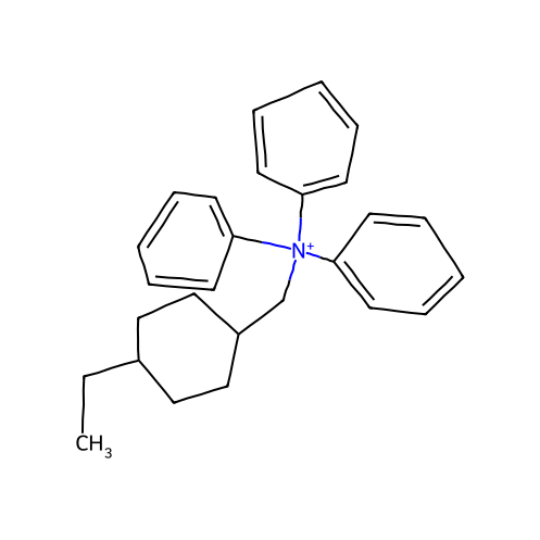 CCC1CCC(C[N+](c2ccccc2)(c2ccccc2)c2ccccc2)CC1